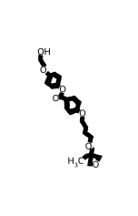 CCC1(COCCCCOc2ccc(C(=O)Oc3ccc(OCCO)cc3)cc2)COC1